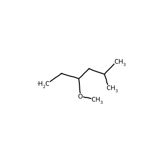 [CH2]CC(CC(C)C)OC